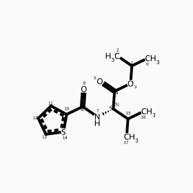 CC(C)OC(=O)[C@@H](NC(=O)c1cccs1)C(C)C